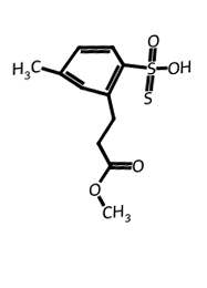 COC(=O)CCc1cc(C)ccc1S(=O)(O)=S